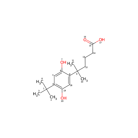 CC(C)(C)c1cc(O)c(C(C)(C)CCCC(=O)O)cc1O